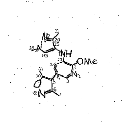 COc1ncc(-c2c(C)noc2C)cc1Nc1cn(C)nc1C